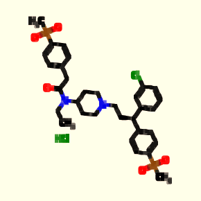 CCN(C(=O)Cc1ccc(S(C)(=O)=O)cc1)C1CCN(CC[C@H](c2ccc(S(C)(=O)=O)cc2)c2cccc(Cl)c2)CC1.Cl